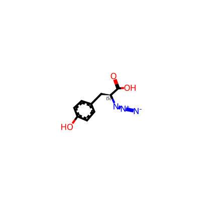 [N-]=[N+]=N[C@@H](Cc1ccc(O)cc1)C(=O)O